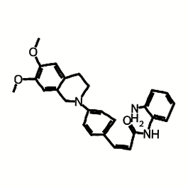 COc1cc2c(cc1OC)CN(c1ccc(/C=C\C(=O)Nc3ccccc3N)cc1)CC2